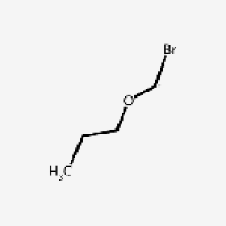 CCCO[CH]Br